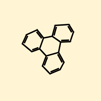 [c]1[c][c]c2c([c]1)c1[c][c]ccc1c1ccccc21